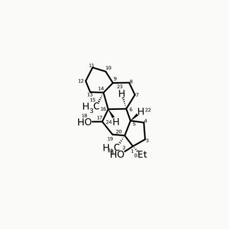 CC[C@@]1(O)CC[C@H]2[C@@H]3CCC4CCCC[C@]4(C)[C@H]3C(O)C[C@@]21C